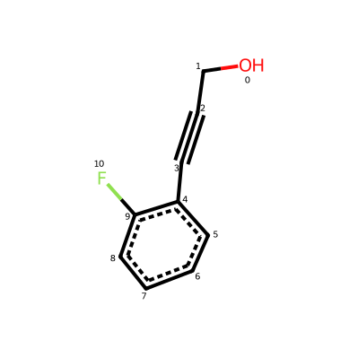 OCC#Cc1ccccc1F